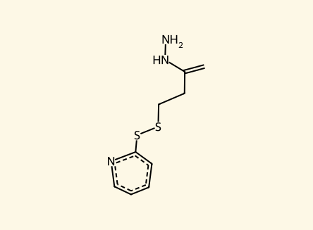 C=C(CCSSc1ccccn1)NN